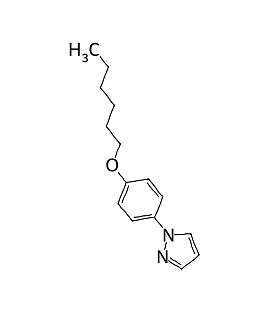 CCCCCCOc1ccc(-n2cccn2)cc1